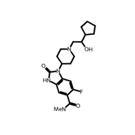 CNC(=O)c1cc2[nH]c(=O)n(C3CCN(CC(O)C4CCCC4)CC3)c2cc1F